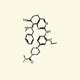 CCOc1cc(N2CCN(C(=O)N(C)C)CC2)ccc1Nc1ncc2c(n1)/C(=C(\Cc1ccccc1)NC)C(=N)CC2